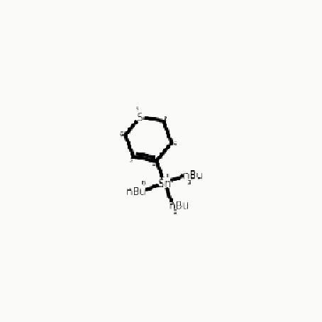 CCC[CH2][Sn]([CH2]CCC)([CH2]CCC)[C]1=CCSCC1